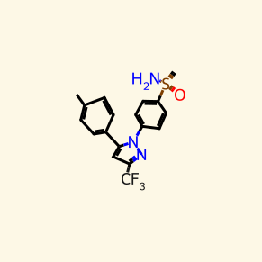 C=S(N)(=O)c1ccc(-n2nc(C(F)(F)F)cc2-c2ccc(C)cc2)cc1